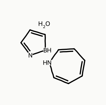 B1C=CC=N1.C1=CC=CNC=C1.O